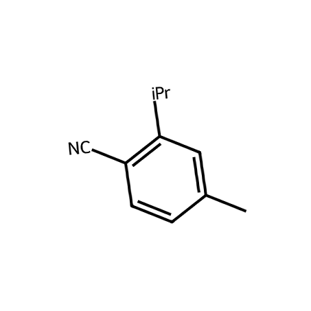 Cc1ccc(C#N)c(C(C)C)c1